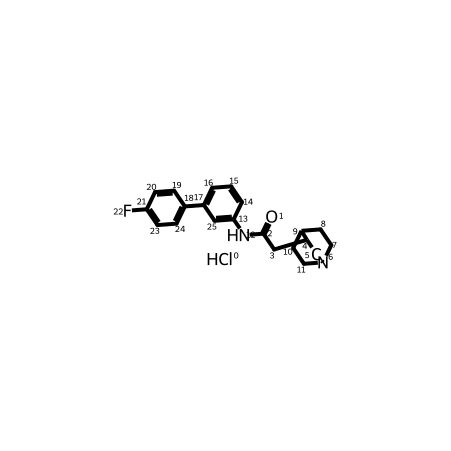 Cl.O=C(CC1CN2CCC1CC2)Nc1cccc(-c2ccc(F)cc2)c1